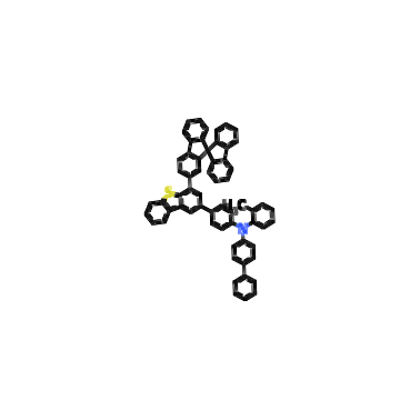 Cc1ccccc1N(c1ccc(-c2ccccc2)cc1)c1ccc(-c2cc(-c3ccc4c(c3)C3(c5ccccc5-c5ccccc53)c3ccccc3-4)c3sc4ccccc4c3c2)cc1